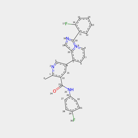 Cc1ncc(-c2cccn3c(-c4ccccc4F)ncc23)cc1C(=O)Nc1ccc(F)cc1